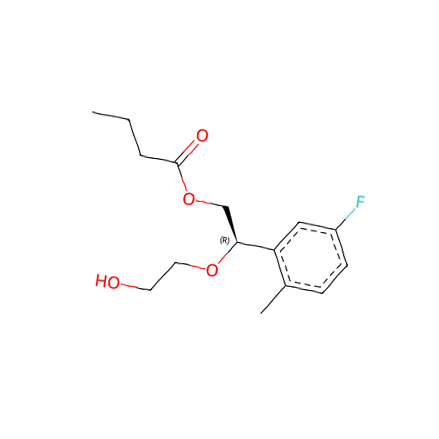 CCCC(=O)OC[C@H](OCCO)c1cc(F)ccc1C